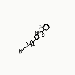 CN(C)CCCN(C)c1nnc(-c2ccc(NC(=O)c3ccccc3F)cc2)o1